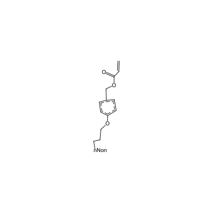 C=CC(=O)OCc1ccc(OCCCCCCCCCCCC)cc1